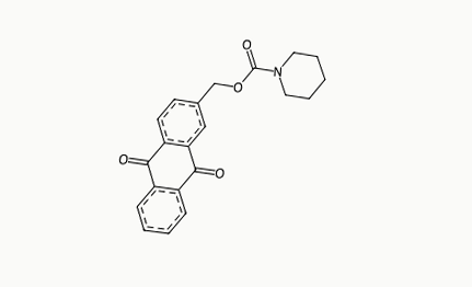 O=C1c2ccccc2C(=O)c2cc(COC(=O)N3CCCCC3)ccc21